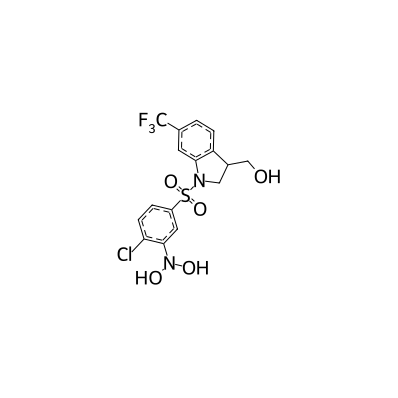 O=S(=O)(c1ccc(Cl)c(N(O)O)c1)N1CC(CO)c2ccc(C(F)(F)F)cc21